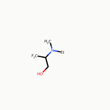 CCN(C)C(CO)C(F)(F)F